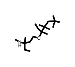 CCC(C)(CCOC(C)(CC)C(C)(C)CC(C)(C)C)NC